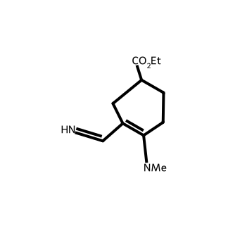 CCOC(=O)C1CCC(NC)=C(C=N)C1